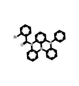 O=C(c1ccccc1Br)N1c2ccccc2N2c3ccccc3N(c3ccccc3)c3cccc1c32